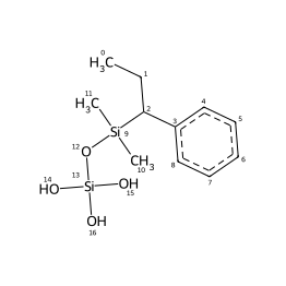 CCC(c1ccccc1)[Si](C)(C)O[Si](O)(O)O